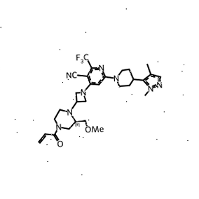 C=CC(=O)N1CCN(C2CN(c3cc(N4CCC(c5c(C)cnn5C)CC4)nc(C(F)(F)F)c3C#N)C2)[C@@H](COC)C1